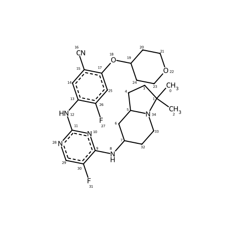 CC1(C)CCC2CC(Nc3nc(Nc4cc(C#N)c(OC5CCOCC5)cc4F)ncc3F)CCN21